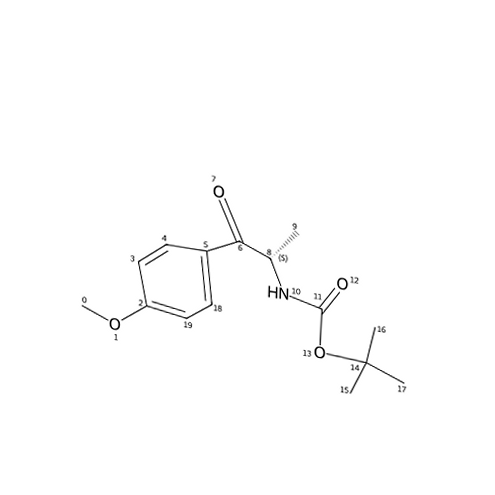 COc1ccc(C(=O)[C@H](C)NC(=O)OC(C)(C)C)cc1